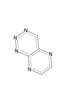 c1cnc2nnncc2n1